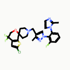 Cc1nn(-c2c(F)cccc2-n2ccnc2C)cc1CN1CCC2(CC1)OCC(F)(F)c1cc(Cl)sc12